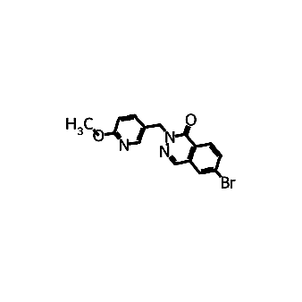 COc1ccc(Cn2ncc3cc(Br)ccc3c2=O)cn1